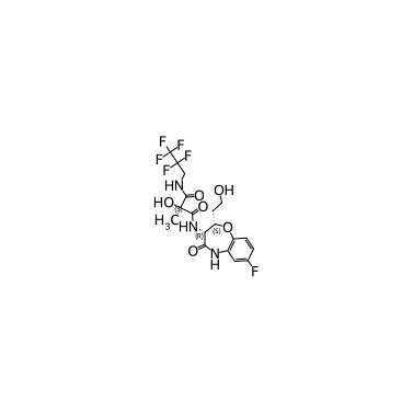 C[C@](O)(C(=O)NCC(F)(F)C(F)(F)F)C(=O)N[C@H]1C(=O)Nc2cc(F)ccc2O[C@H]1CCO